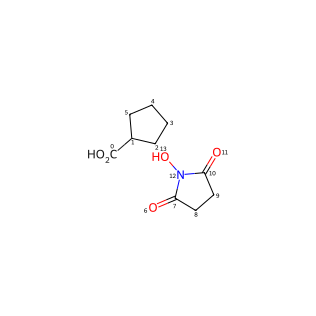 O=C(O)C1CCCC1.O=C1CCC(=O)N1O